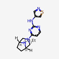 CCOC(=O)N1[C@@H]2CC[C@H]1CN(c1ccnc(Nc3cnsc3)n1)C2